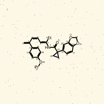 C=C(/C=C\C=C(/CC)NC(=O)C1(c2ccc3c(c2)OCO3)CC1)c1ccc(OC(C)C)cc1